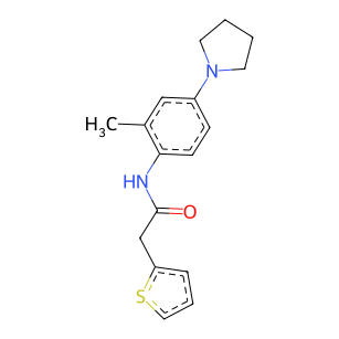 Cc1cc(N2CCCC2)ccc1NC(=O)Cc1cccs1